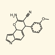 COc1cccc(C2C3=CC=C4N=CC=C4C3OC(N)=C2C#N)c1